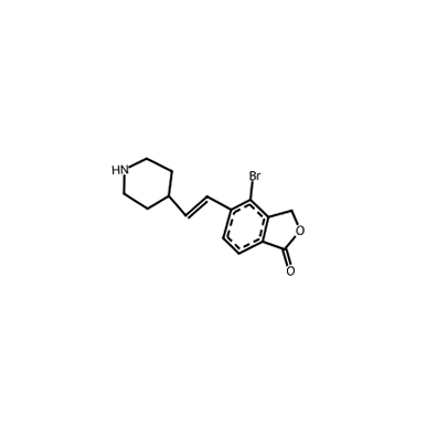 O=C1OCc2c1ccc(/C=C/C1CCNCC1)c2Br